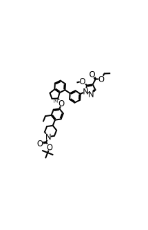 CCOC(=O)c1cnn(-c2cccc(-c3cccc4c3[C@@H](Oc3ccc(C5CCN(C(=O)OC(C)(C)C)CC5)c(CC)c3)CC4)c2)c1OC